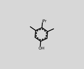 Cc1cc(O)cc(C)c1C(C)C